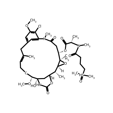 COc1cc2cc(c1Cl)N(C)C(=O)C[C@H](OC(=O)[C@H](C)N(C)C(=O)CCC[SH](C)(C)=O)[C@@]1(C)O[C@H]1[C@H](C)[C@@H]1C[C@@](O)(NC(=O)O1)[C@H](OC)CC/C=C(\C)C2